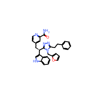 NC(=O)c1cc(C[C@H](c2c[nH]c3ccccc23)c2nnc(CCc3ccccc3)n2Cc2ccco2)ccn1